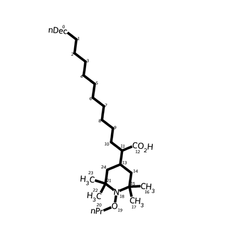 CCCCCCCCCCCCCCCCCCCCC(C(=O)O)C1CC(C)(C)N(OCCC)C(C)(C)C1